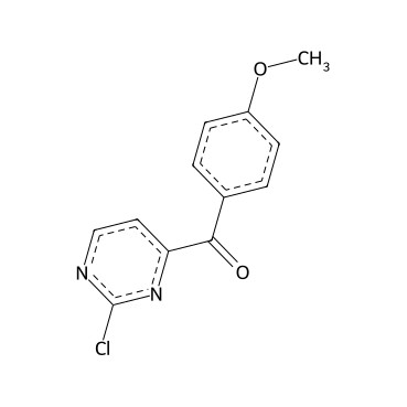 COc1ccc(C(=O)c2ccnc(Cl)n2)cc1